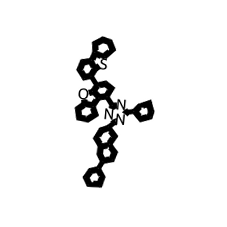 c1ccc(-c2ccc3cc(-c4nc(-c5ccccc5)nc(-c5ccc(-c6cccc7c6sc6ccccc67)c6oc7ccccc7c56)n4)ccc3c2)cc1